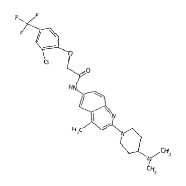 Cc1cc(N2CCC(N(C)C)CC2)nc2ccc(NC(=O)COc3ccc(C(F)(F)F)cc3Cl)cc12